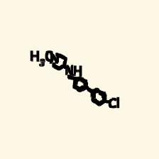 CN1CCC(NCc2ccc(-c3ccc(Cl)cc3)cc2)CC1